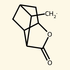 [CH2]C1C2CC3OC(=O)C1C3C2